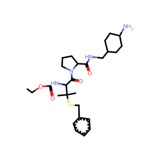 CCOC(=O)NC(C(=O)N1CCCC1C(=O)NCC1CCC(N)CC1)C(C)(C)SCc1ccccc1